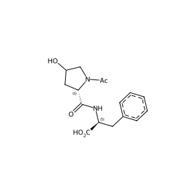 CC(=O)N1CC(O)C[C@H]1C(=O)N[C@@H](Cc1ccccc1)C(=O)O